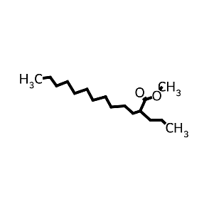 CCCCCCCCCCCC(CCC)C(=O)OC